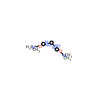 CN(C)CCCOc1ccc2nc(-c3cccc(-c4nc5ccc(OCCCN(C)C)cc5[nH]4)c3)[nH]c2c1